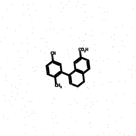 Cc1ccc(C#N)cc1C1=CCCc2ccc(C(=O)O)cc21